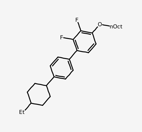 CCCCCCCCOc1ccc(-c2ccc(C3CCC(CC)CC3)cc2)c(F)c1F